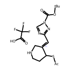 CC(=O)SC1CCNC/C1=C\c1ncn(C(=O)OC(C)(C)C)n1.O=C(O)C(F)(F)F